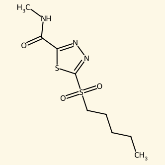 CCCCCS(=O)(=O)c1nnc(C(=O)NC)s1